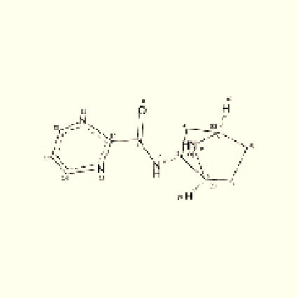 O=C(N[C@@H]1C[C@H]2CC[C@@H]1N2)c1ncccn1